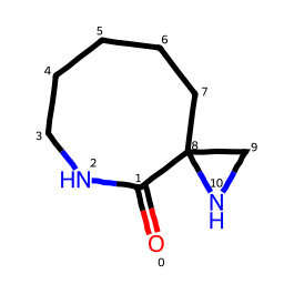 O=C1NCCCCCC12CN2